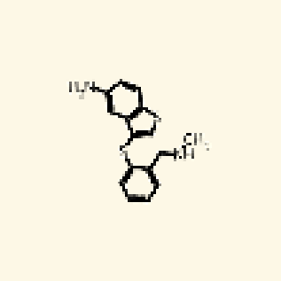 CNCc1ccccc1Sc1csc2ccc(N)cc12